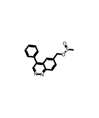 CS(=O)OCc1ccc2nncc(-c3ccccc3)c2c1